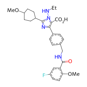 CCNn1c(C2CCC(OC)CC2)nc(-c2ccc(CNC(=O)c3cc(F)ccc3OC)cc2)c1C(=O)O